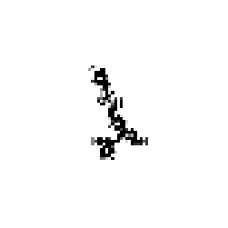 O=C(O)CN(CCc1c[nH]c2ccccc12)Cc1ccc(OCCNC(=O)COCc2ccc(F)cc2)cc1